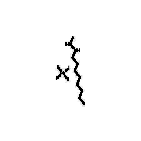 CCCCCCCCNNC.[I][Pb]([I])([I])[I]